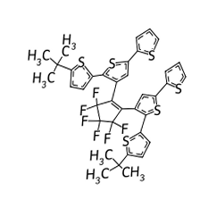 CC(C)(C)c1ccc(-c2sc(-c3cccs3)cc2C2=C(c3cc(-c4cccs4)sc3-c3ccc(C(C)(C)C)s3)C(F)(F)C(F)(F)C2(F)F)s1